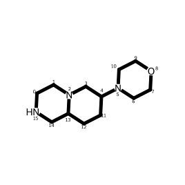 C1CN2CC(N3CCOCC3)CCC2CN1